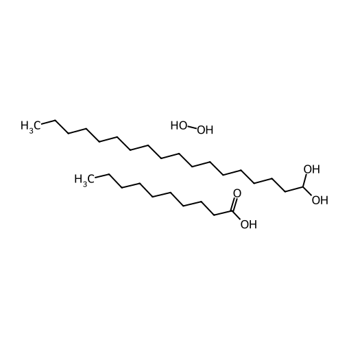 CCCCCCCCCC(=O)O.CCCCCCCCCCCCCCCCCC(O)O.OO